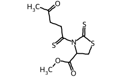 COC(=O)C1CSC(=S)N1C(=S)CCC(C)=O